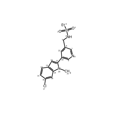 CCS(=O)(=O)NCc1cncc(-c2cc3ccc(Cl)cc3n2C)c1